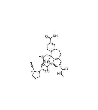 CNC(=O)c1ccc2c(c1)CCc1cc(C(=O)NC)ccc1C2(C[C@H](C)NCC(=O)N1CCC[C@H]1C#N)c1nc(=O)on1C